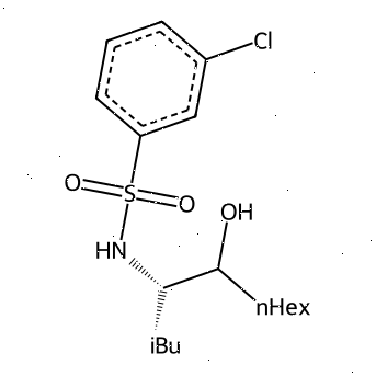 CCCCCCC(O)[C@@H](NS(=O)(=O)c1cccc(Cl)c1)[C@@H](C)CC